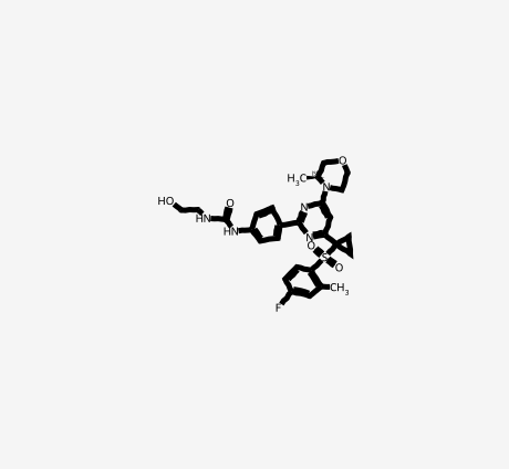 Cc1cc(F)ccc1S(=O)(=O)C1(c2cc(N3CCOC[C@@H]3C)nc(-c3ccc(NC(=O)NCCO)cc3)n2)CC1